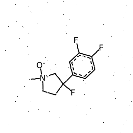 C[N+]1([O-])CCC(F)(c2ccc(F)c(F)c2)C1